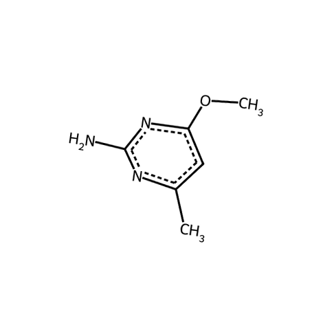 COc1cc(C)nc(N)n1